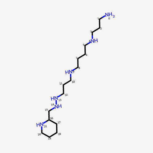 NCCCNCCCCNCCCNNCC1CCCCN1